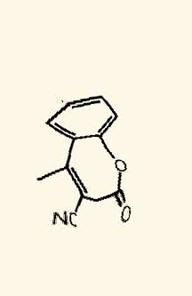 Cc1c(C#N)c(=O)oc2cc[c]cc12